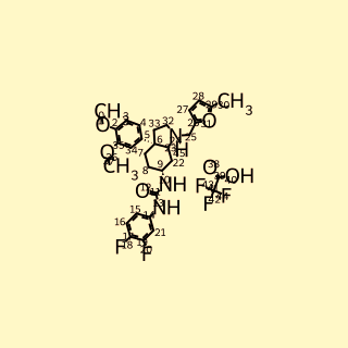 COc1ccc([C@@]23CC[C@@H](NC(=O)Nc4ccc(F)c(F)c4)C[C@@H]2N(Cc2ccc(C)o2)CC3)cc1OC.O=C(O)C(F)(F)F